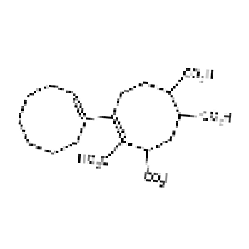 O=C(O)C1=C(C2=CCCCCCC2)CCC(C(=O)O)C(C(=O)O)CC1C(=O)O